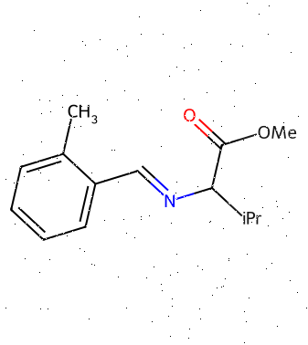 COC(=O)C(N=Cc1ccccc1C)C(C)C